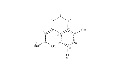 CC(C)(C)[S@@+]([O-])/N=C1/CCOc2c(Cl)cc(Cl)cc21